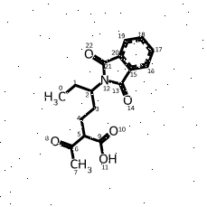 CCC(CCC(C(C)=O)C(=O)O)N1C(=O)c2ccccc2C1=O